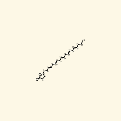 O=C1CCC(CCC=CCC=CCC=CCC=CCC=CCCI)O1